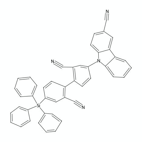 N#Cc1ccc2c(c1)c1ccccc1n2-c1ccc(-c2ccc([Si](c3ccccc3)(c3ccccc3)c3ccccc3)cc2C#N)c(C#N)c1